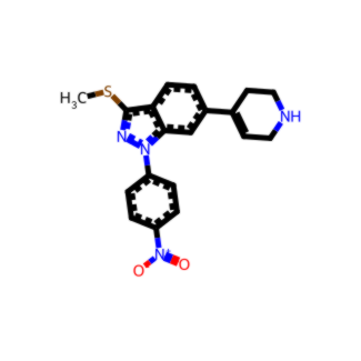 CSc1nn(-c2ccc([N+](=O)[O-])cc2)c2cc(C3=CCNCC3)ccc12